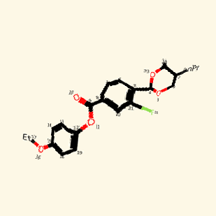 CCCC1COC(c2ccc(C(=O)Oc3ccc(OCC)cc3)cc2F)OC1